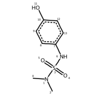 CN(C)S(=O)(=O)Nc1ccc(O)cc1